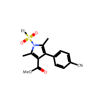 CCS(=O)(=O)n1c(C)c(C(=O)OC)c(-c2ccc(C#N)cc2)c1C